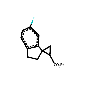 CCOC(=O)C1CC12CCc1ccc(F)cc12